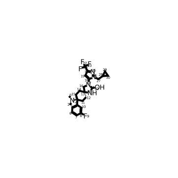 CN(C)[C@]1(c2cccc(F)c2)CC[C@]2(CC1)CN(c1cc(C(F)(F)F)nn1CC1CC1)C(O)N2